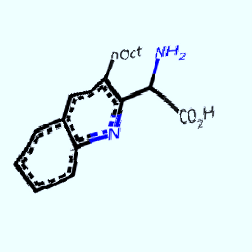 CCCCCCCCc1cc2ccccc2nc1C(N)C(=O)O